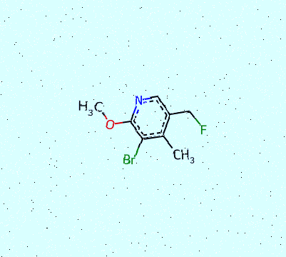 COc1ncc(CF)c(C)c1Br